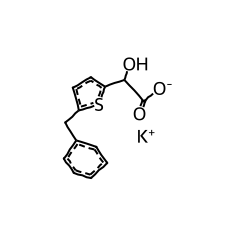 O=C([O-])C(O)c1ccc(Cc2ccccc2)s1.[K+]